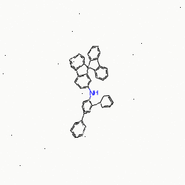 C1=CCC(c2cc(-c3ccccc3)ccc2Nc2ccc3c(c2)C2(c4ccccc4-c4ccccc42)c2ccccc2-3)C=C1